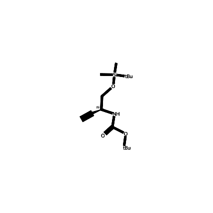 C#C[C@@H](CO[Si](C)(C)C(C)(C)C)NC(=O)OC(C)(C)C